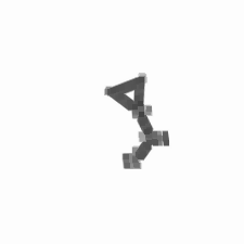 [CH2]CNN1CC1